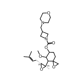 COC1C(OC(=O)N2CC(CN3CCOCC3)C2)CCC2(CO2)C1[C@@]1(C)O[C@@H]1CC=C(C)C